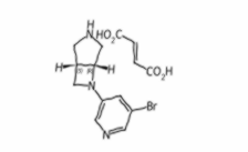 Brc1cncc(N2C[C@@H]3CNC[C@@H]32)c1.O=C(O)C=CC(=O)O